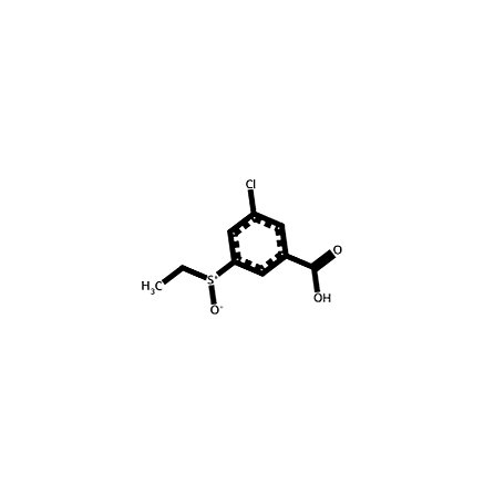 CC[S+]([O-])c1cc(Cl)cc(C(=O)O)c1